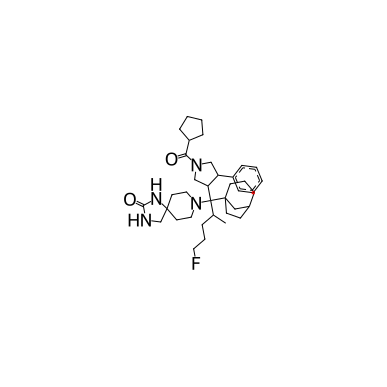 CC(CCCF)C(C1CN(C(=O)C2CCCC2)CC1c1ccccc1)(N1CCC2(CC1)CNC(=O)N2)C12CCCC(CC1)C2